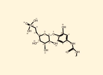 CNC(=O)Nc1ccc(O[C@H]2O[C@H](CCP(=O)(O)O)[C@@H](O)[C@H](O)[C@@H]2O)c(O)c1